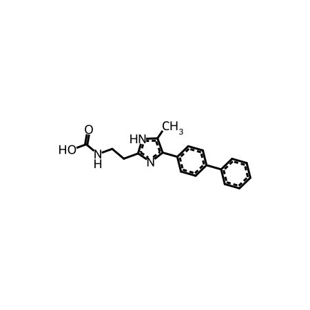 Cc1[nH]c(CCNC(=O)O)nc1-c1ccc(-c2ccccc2)cc1